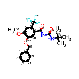 COc1cc(C(F)(F)F)c(C(=O)NC(=O)NC(C)(C)C)cc1OCc1ccccc1